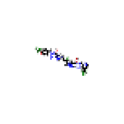 O=C(NCc1ccc(OC(F)(F)F)cc1)c1cn(CCC(F)Cn2cc(C(=O)NCc3cc(C(F)(F)F)ccn3)nn2)nn1